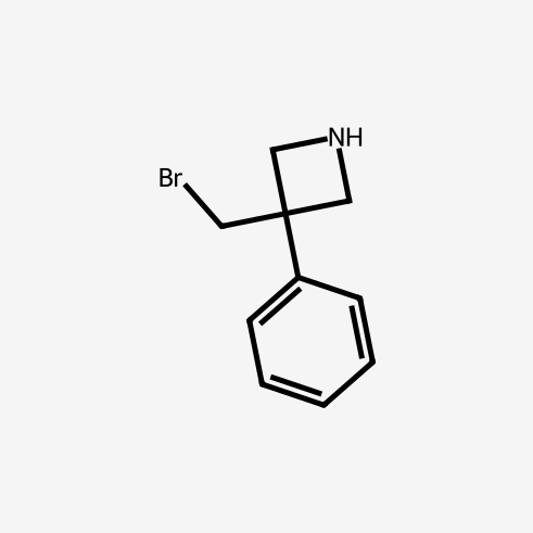 BrCC1(c2ccccc2)CNC1